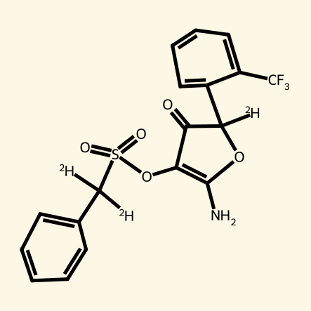 [2H]C1(c2ccccc2C(F)(F)F)OC(N)=C(OS(=O)(=O)C([2H])([2H])c2ccccc2)C1=O